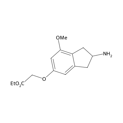 CCOC(=O)COc1cc2c(c(OC)c1)CC(N)C2